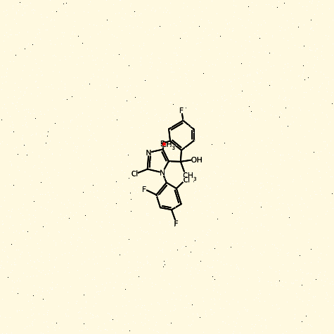 Cc1nc(Cl)n(-c2c(F)cc(F)cc2Cl)c1C(C)(O)c1ccc(F)cc1F